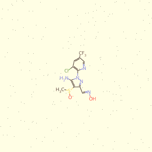 C[S+]([O-])c1c(C=NO)nn(-c2ncc(C(F)(F)F)cc2Cl)c1N